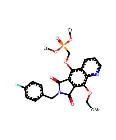 CCOP(=O)(COc1c2c(c(OCOC)c3ncccc13)C(=O)N(Cc1ccc(F)cc1)C2=O)OCC